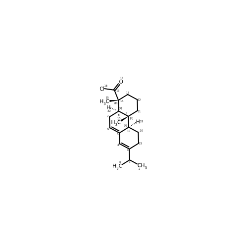 CC(C)C1=CC2=CC[C@@H]3[C@](C)(CCC[C@@]3(C)C(=O)Cl)[C@H]2CC1